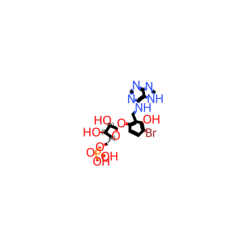 O=P(O)(O)OC[C@H]1OC(Oc2ccc(Br)c(O)c2CNc2ncnc3nc[nH]c23)[C@H](O)[C@@H]1O